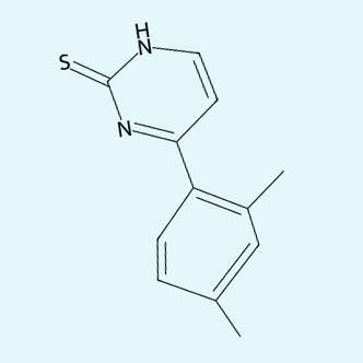 Cc1ccc(-c2cc[nH]c(=S)n2)c(C)c1